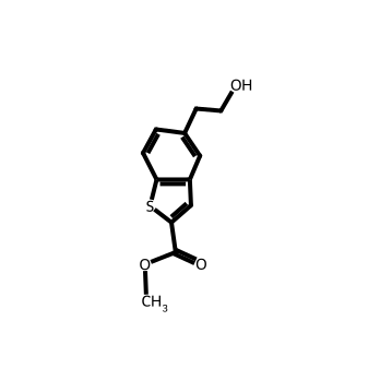 COC(=O)c1cc2cc(CCO)ccc2s1